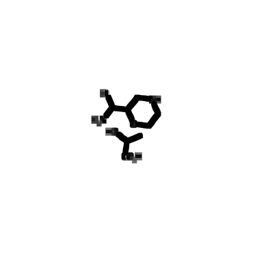 CC(O)C(=O)O.CCC(N)C1CNCCO1